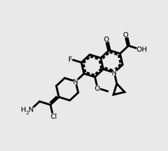 COc1c(N2CCC(=C(Cl)CN)CC2)c(F)cc2c(=O)c(C(=O)O)cn(C3CC3)c12